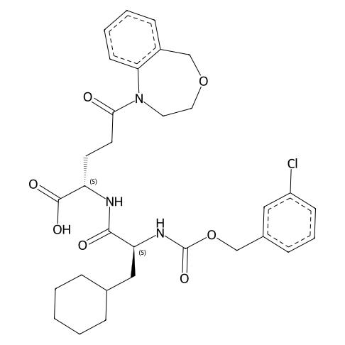 O=C(N[C@@H](CC1CCCCC1)C(=O)N[C@@H](CCC(=O)N1CCOCc2ccccc21)C(=O)O)OCc1cccc(Cl)c1